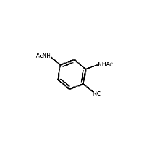 [C-]#[N+]c1ccc(NC(C)=O)cc1NC(C)=O